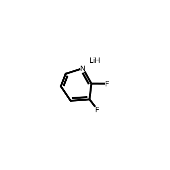 Fc1cccnc1F.[LiH]